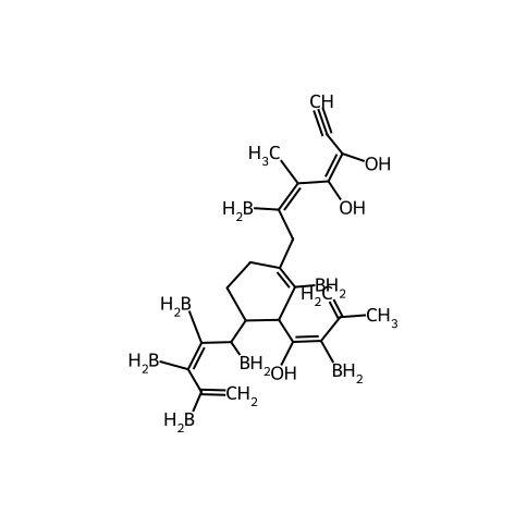 BC(=C)/C(B)=C(/B)C(B)C1CCC(C/C(B)=C(C)\C(O)=C(\O)C#C)=C(B)C1/C(O)=C(/B)C(=C)C